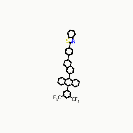 FC(F)(F)c1cc(-c2c3ccccc3c(-c3ccc4cc(-c5ccc(-c6nc7ccccc7s6)cc5)ccc4c3)c3ccccc23)cc(C(F)(F)F)c1